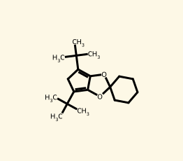 CC(C)(C)C1=C2OC3(CCCCC3)OC2=C(C(C)(C)C)C1